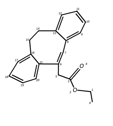 CCOC(=O)C/C1=C/c2ccccc2CCc2ccccc21